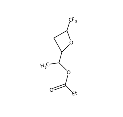 CCC(=O)OC(C)C1CC(C(F)(F)F)O1